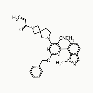 C=CC(=O)N1CC2(CCN(c3nc(OCc4ccccc4)nc(-c4c(C)ccc5cnn(C)c45)c3C#N)C2)C1